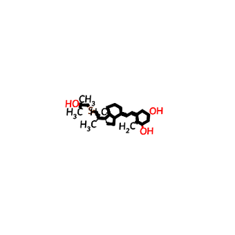 C=C1/C(=C\C=C2CCC[C@@]3(C)C2CC[C@@H]3[C@H](C)CSCC(C)(C)O)C[C@@H](O)C[C@H]1O